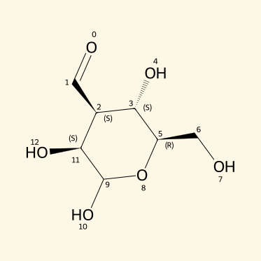 O=C[C@H]1[C@H](O)[C@@H](CO)OC(O)[C@H]1O